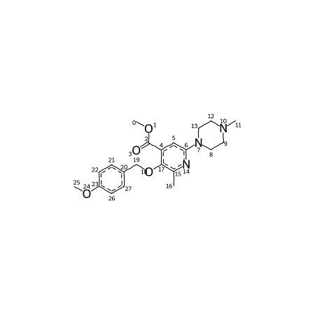 COC(=O)c1cc(N2CCN(C)CC2)nc(C)c1OCc1ccc(OC)cc1